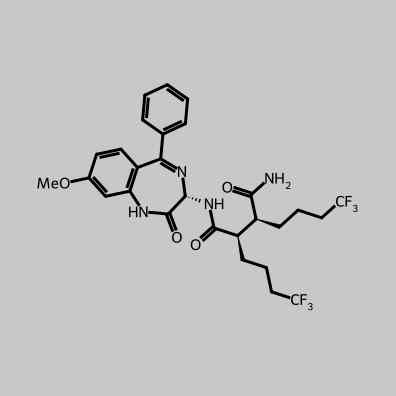 COc1ccc2c(c1)NC(=O)[C@@H](NC(=O)[C@H](CCCC(F)(F)F)[C@H](CCCC(F)(F)F)C(N)=O)N=C2c1ccccc1